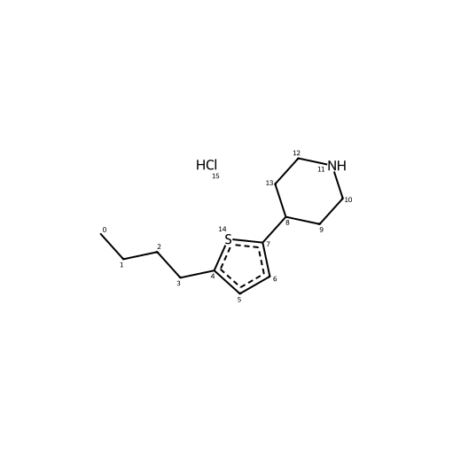 CCCCc1ccc(C2CCNCC2)s1.Cl